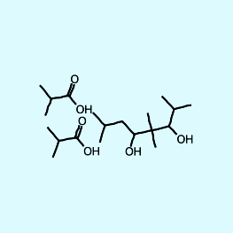 CC(C)C(=O)O.CC(C)C(=O)O.CC(C)CC(O)C(C)(C)C(O)C(C)C